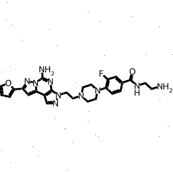 NCCNC(=O)c1ccc(N2CCN(CCn3ncc4c3nc(N)n3nc(-c5ccco5)cc43)CC2)c(F)c1